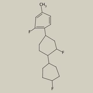 Cc1ccc(C2CCC(C3CCC(F)CC3)C(F)C2)c(F)c1